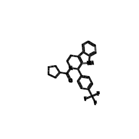 O=C(C1CCCC1)N1CCc2c([nH]c3ccccc23)C1c1ccc(C(F)(F)F)cc1